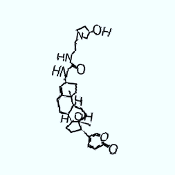 C[C@]12CC[C@H](NC(=O)NCCN3CC[C@@H](O)C3)C=C1CC[C@@H]1[C@@H]2CC[C@]2(C)[C@@H](c3ccc(=O)oc3)CC[C@]12O